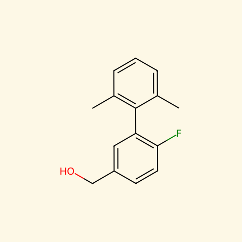 Cc1cccc(C)c1-c1cc(CO)ccc1F